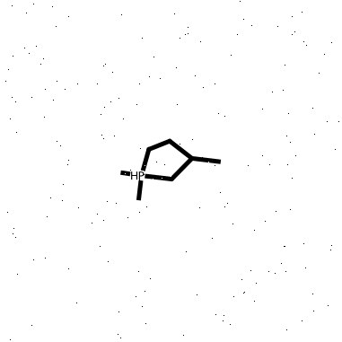 CC1CC[PH](C)(C)C1